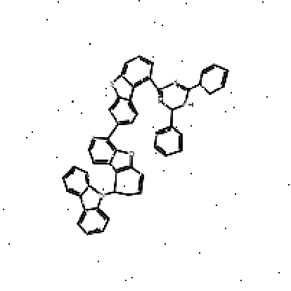 C1=CCC(C2=NC(c3cccc4sc5cc(-c6cccc7c8c(oc67)C=CCC8n6c7ccccc7c7ccccc76)ccc5c34)=NC(c3ccccc3)N2)C=C1